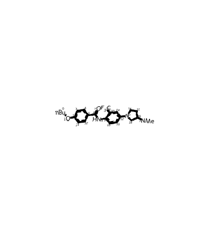 CCCCOc1ccc(C(=O)Nc2ccc(N3CCC(NC)C3)cc2C(F)(F)F)cc1